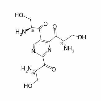 N[C@@H](CO)C(=O)c1ncc(C(=O)[C@@H](N)CO)c(C(=O)[C@@H](N)CO)n1